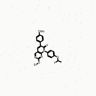 CCOc1ncc2cc(-c3ccc(OC)cc3)c(=O)n(-c3ccc(OC(F)F)cc3)c2n1